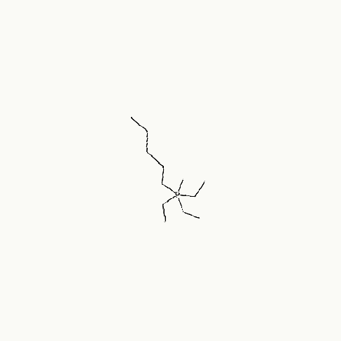 CCCCCP(C)(CC)(CC)CC